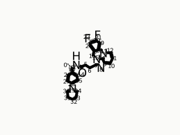 C[C@H](NC(=O)CCc1nc2cccnc2n1Cc1ccc(F)c(F)c1)c1ccc(N2CCCCC2)cc1